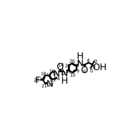 CC(C)(O)CC(=O)Nc1ccc(NC(=O)N2Cc3cc(F)cnc3C2)cc1